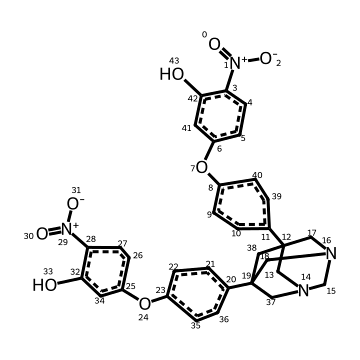 O=[N+]([O-])c1ccc(Oc2ccc(C34CN5CN(C3)CC(c3ccc(Oc6ccc([N+](=O)[O-])c(O)c6)cc3)(C5)C4)cc2)cc1O